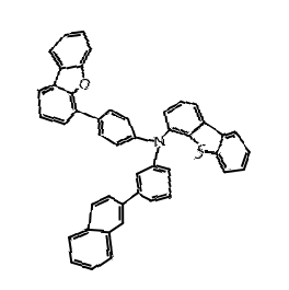 c1cc(-c2ccc3ccccc3c2)cc(N(c2ccc(-c3cccc4c3oc3ccccc34)cc2)c2cccc3c2sc2ccccc23)c1